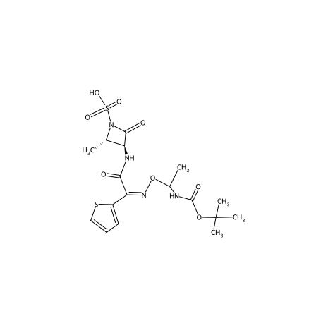 CC(NC(=O)OC(C)(C)C)O/N=C(\C(=O)N[C@@H]1C(=O)N(S(=O)(=O)O)[C@H]1C)c1cccs1